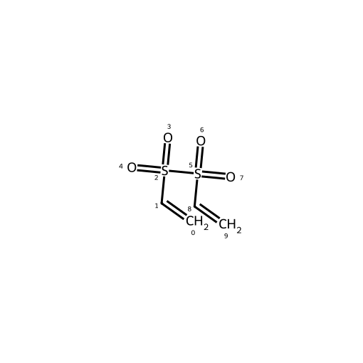 C=CS(=O)(=O)S(=O)(=O)C=C